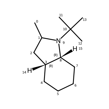 CC1C[C@H]2CCCC[C@H]2N1C(C)(C)C